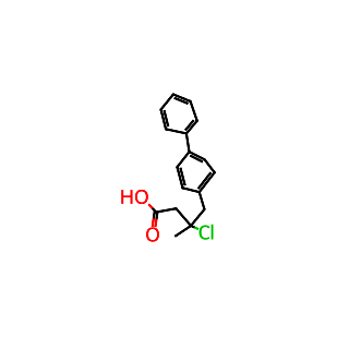 CC(Cl)(CC(=O)O)Cc1ccc(-c2ccccc2)cc1